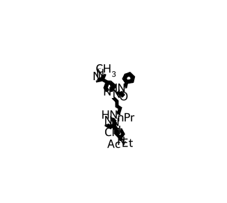 CCC[C@H](CCC/C=[N+](\C(=O)NCc1ccccc1)c1ccc(-c2cnn(C)c2)cn1)Nc1ncc(C#N)c(N2CCC(N(CC)C(C)=O)C2)n1